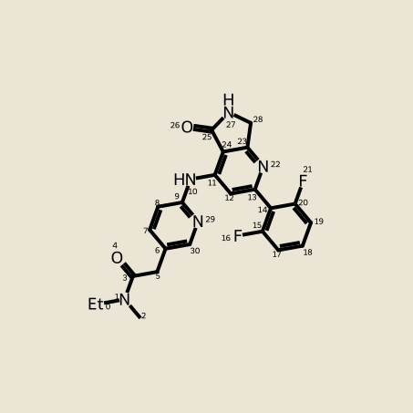 CCN(C)C(=O)Cc1ccc(Nc2cc(-c3c(F)cccc3F)nc3c2C(=O)NC3)nc1